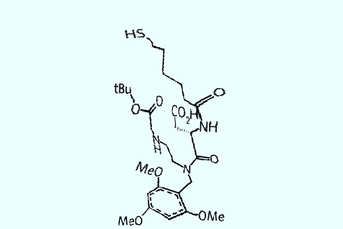 COc1cc(OC)c(CN(CCNC(=O)OC(C)(C)C)C(=O)[C@H](CC(=O)O)NC(=O)CCCCCS)c(OC)c1